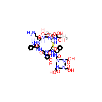 CC(O)[C@H](NC(=O)[C@@H]1CSSC[C@H](NC(=O)[C@@H](Cc2ccccc2)NC(=O)CN2CCN(CC(=O)O)CCN(CC(=O)O)CCN(CC(=O)O)CC2)C(=O)NC(Cc2ccc(O)cc2)C(=O)NC(Cc2c[nH]c3ccccc23)C(=O)N[C@@H](CCCCN)C(=O)N[C@@H](C(C)O)C(=O)N1)C(=O)O